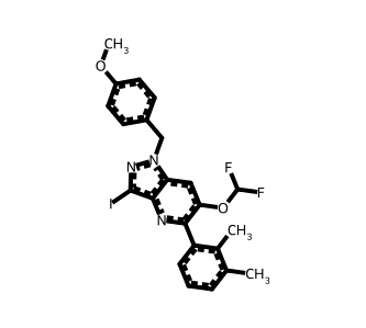 COc1ccc(Cn2nc(I)c3nc(-c4cccc(C)c4C)c(OC(F)F)cc32)cc1